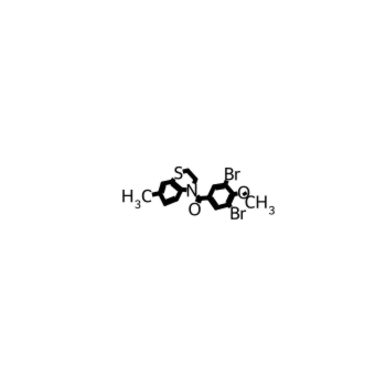 COc1c(Br)cc(C(=O)N2CCSc3cc(C)ccc32)cc1Br